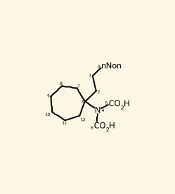 CCCCCCCCCCCC1(N(C(=O)O)C(=O)O)CCCCCC1